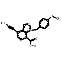 CC#Cc1ccc(C(=O)OC)c2c1cnn2Cc1ccc(OC(F)(F)F)cc1